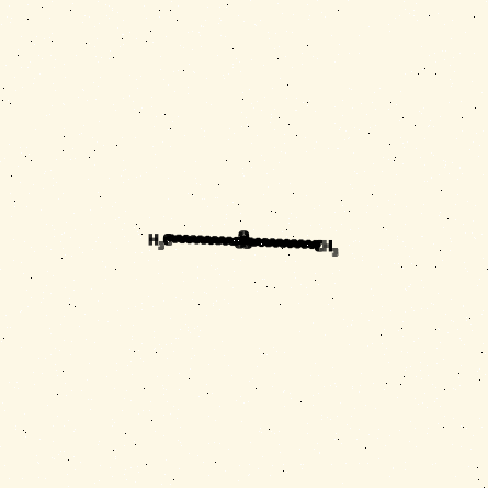 CCCCCCCCCCCCCCCCCCCCOC(=O)OCCCCCCCCCCCCCCCCCCCC